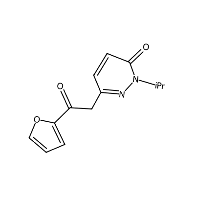 CC(C)n1nc(CC(=O)c2ccco2)ccc1=O